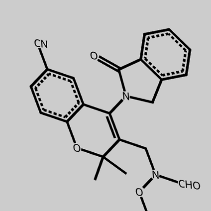 CCON(C=O)CC1=C(N2Cc3ccccc3C2=O)c2cc(C#N)ccc2OC1(C)C